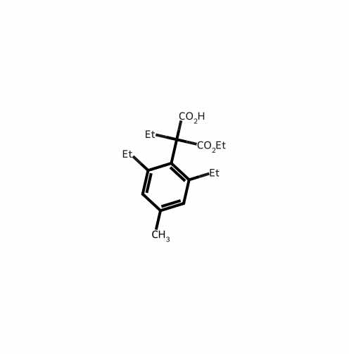 CCOC(=O)C(CC)(C(=O)O)c1c(CC)cc(C)cc1CC